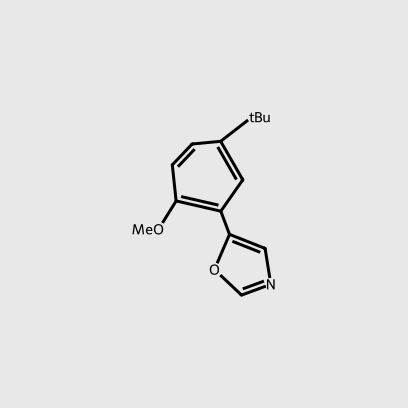 COc1ccc(C(C)(C)C)cc1-c1cnco1